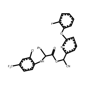 CC(C)C(Nc1ccc(C(F)(F)F)cc1Cl)C(=O)OC(C#N)c1cccc(Oc2ccccc2F)n1